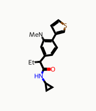 CCC(C(=O)NC1CC1)c1ccc(-c2ccsc2)c(NC)c1